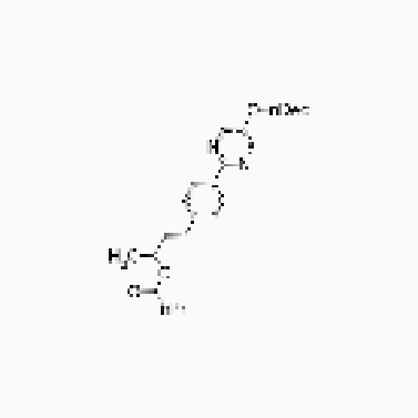 CCCCCCCCCCOc1cnc(-c2ccc(C=CC(C)OC(=O)CCC)cc2)nc1